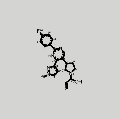 C=CC(O)N1CCC(c2cnc(-c3ccc(F)cc3)nc2-c2ccn(C)n2)C1